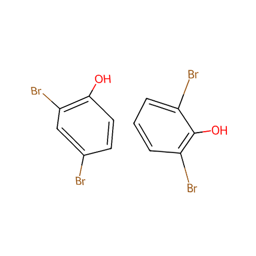 Oc1c(Br)cccc1Br.Oc1ccc(Br)cc1Br